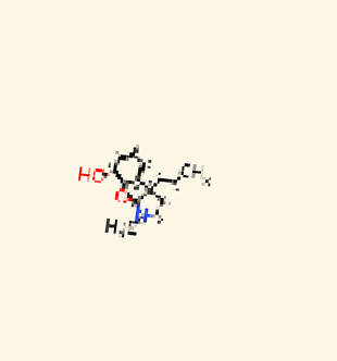 CCCC1(c2cccc(O)c2)CCN(C)C1=O